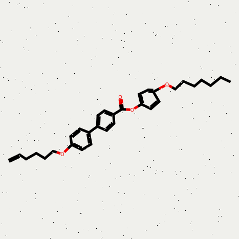 C=CCCCCOc1ccc(-c2ccc(C(=O)Oc3ccc(OCCCCCCC)cc3)cc2)cc1